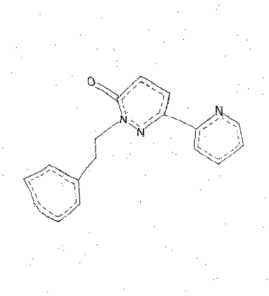 O=c1ccc(-c2ccccn2)nn1CCc1ccccc1